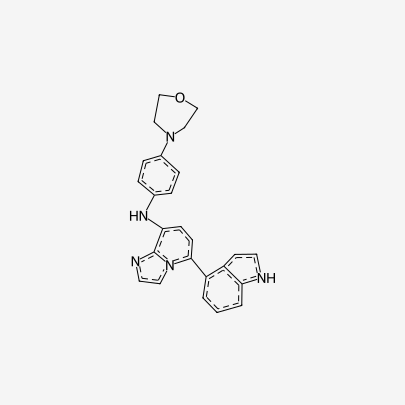 c1cc(-c2ccc(Nc3ccc(N4CCOCC4)cc3)c3nccn23)c2cc[nH]c2c1